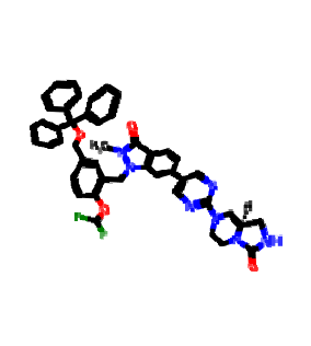 Cn1c(=O)c2ccc(-c3cnc(N4CCN5C(=O)NC[C@@H]5C4)nc3)cc2n1Cc1cc(COC(c2ccccc2)(c2ccccc2)c2ccccc2)ccc1OC(F)F